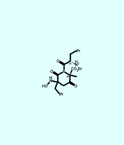 CCOC(=O)[C@@]1(C)C(=O)CC(CC(C)C)(NO)C(=O)N1C(=O)[C@@H](N)CC(C)C